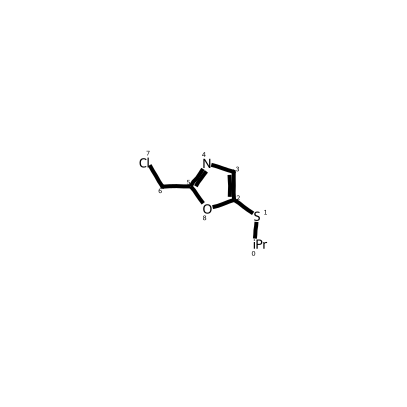 CC(C)Sc1cnc(CCl)o1